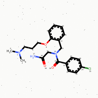 CN(C)CCCOc1ccccc1CN(CC(N)=O)C(=O)c1ccc(Cl)cc1